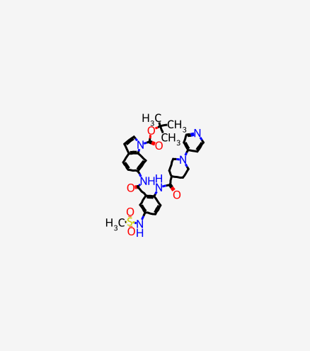 CC(C)(C)OC(=O)n1ccc2ccc(NC(=O)c3cc(NS(C)(=O)=O)ccc3NC(=O)C3CCN(c4ccncc4)CC3)cc21